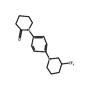 O=C1CCCCN1c1ccc(N2CCCC(C(F)(F)F)C2)cc1